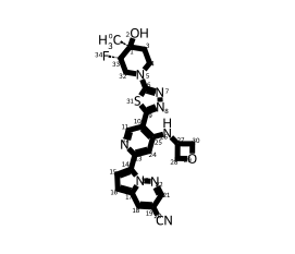 C[C@]1(O)CCN(c2nnc(-c3cnc(-c4ccc5cc(C#N)cnn45)cc3NC3COC3)s2)C[C@@H]1F